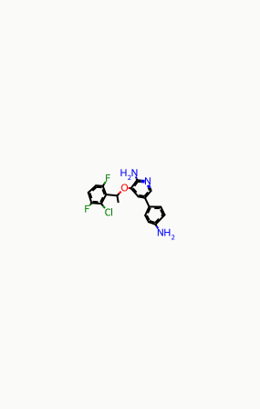 CC(Oc1cc(-c2ccc(N)cc2)cnc1N)c1c(F)ccc(F)c1Cl